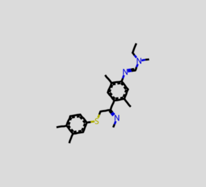 CCN(C)C=Nc1cc(C)c(C(CSc2ccc(C)c(C)c2)=NC)cc1C